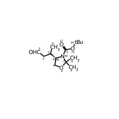 CC(CC=O)[C@@H]1COC(C)(C)N1C(=O)OC(C)(C)C